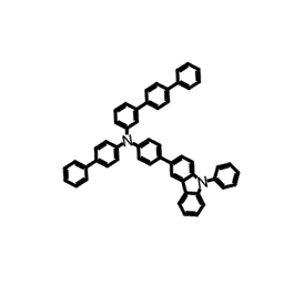 c1ccc(-c2ccc(-c3cccc(N(c4ccc(-c5ccccc5)cc4)c4ccc(-c5ccc6c(c5)c5ccccc5n6-c5ccccc5)cc4)c3)cc2)cc1